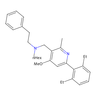 CCCCCCN(CCc1ccccc1)Cc1c(OC)cc(-c2c(CC)cccc2CC)nc1C